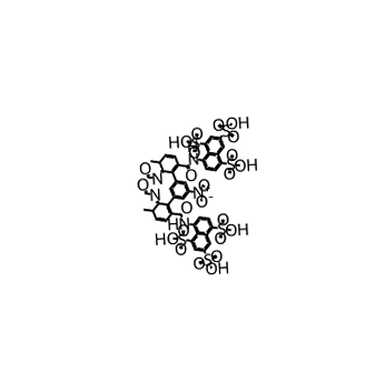 CC1C=CC(C(=O)Nc2ccc(S(=O)(=O)O)c3cc(S(=O)(=O)O)cc(S(=O)(=O)O)c23)=C(c2cc(C3=C(C(=O)Nc4ccc(S(=O)(=O)O)c5cc(S(=O)(=O)O)cc(S(=O)(=O)O)c45)C=CC(C)C3=NC=O)cc([N+](=O)[O-])c2)C1=NC=O